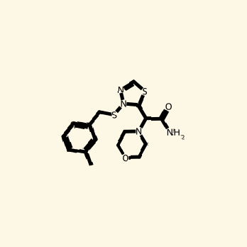 Cc1cccc(CSN2N=CSC2C(C(N)=O)N2CCOCC2)c1